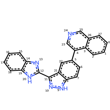 c1ccc2c(-c3ccc4[nH]nc(-c5nc6ccccc6[nH]5)c4c3)cncc2c1